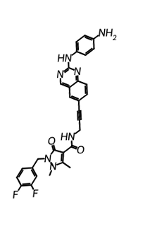 Cc1c(C(=O)NCC#Cc2ccc3nc(Nc4ccc(N)cc4)ncc3c2)c(=O)n(Cc2ccc(F)c(F)c2)n1C